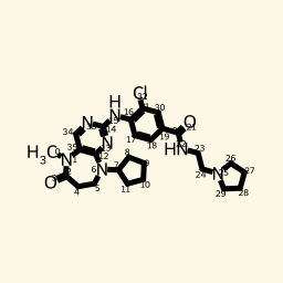 CN1C(=O)CCN(C2CCCC2)c2nc(Nc3ccc(C(=O)NCCN4CCCC4)cc3Cl)ncc21